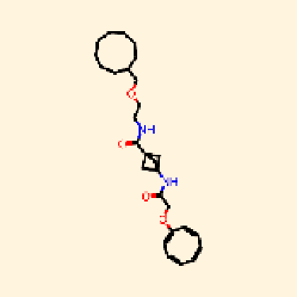 O=C(COC1=C/C=C\C=C/C=C\1)NC12CC(C(=O)NCCOCC3CCCCCCCC3)(C1)C2